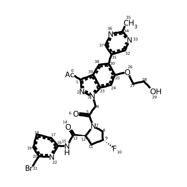 CC(=O)c1nn(CC(=O)N2C[C@H](F)C[C@H]2C(=O)Nc2cccc(Br)n2)c2cc(OCCO)c(-c3cnc(C)nc3)cc12